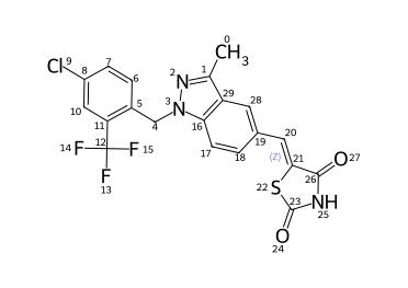 Cc1nn(Cc2ccc(Cl)cc2C(F)(F)F)c2ccc(/C=C3\SC(=O)NC3=O)cc12